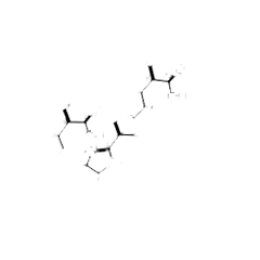 C=C(C)C1=NCCO1.C=C(CC)C(=O)O.C=C(CCC)C(=O)O